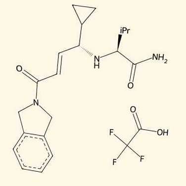 CC(C)[C@H](N[C@H](/C=C/C(=O)N1Cc2ccccc2C1)C1CC1)C(N)=O.O=C(O)C(F)(F)F